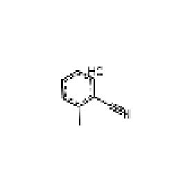 Cc1ccccc1C#N.Cl